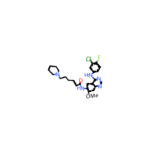 COc1cc2ncnc(Nc3ccc(F)c(Cl)c3)c2cc1NC(=O)C=CCCCN1CCCCC1